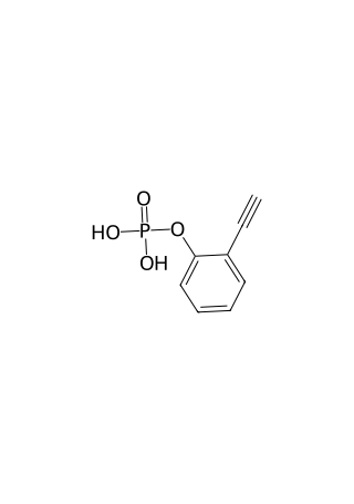 C#Cc1ccccc1OP(=O)(O)O